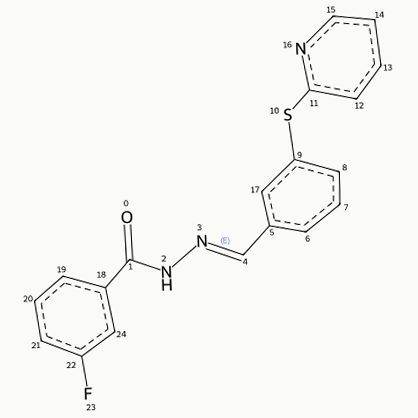 O=C(N/N=C/c1cccc(Sc2ccccn2)c1)c1cccc(F)c1